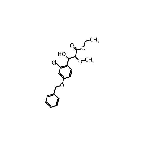 CCOC(=O)C(OC)C(O)c1ccc(OCc2ccccc2)cc1Cl